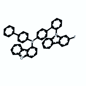 Fc1ccc2c3ccccc3n(-c3ccccc3-c3ccc(N(c4ccc(-c5ccccc5)cc4)c4cccc5oc6ccccc6c45)cc3)c2c1